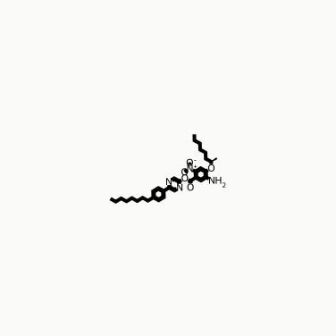 CCCCCCCCc1ccc(-c2cnc(OC(=O)c3cc(N)c(O[C@H](C)CCCCCC)cc3[N+](=O)[O-])cn2)cc1